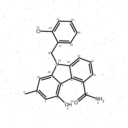 Cc1cc(O)c2c3c(C(N)=O)cccc3n(Cc3ccccc3Cl)c2c1